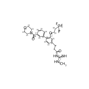 CNC(=N)NC(=O)CCc1ccc(-c2cccc(C(=O)N3CCOCC3)c2)c(OCCC(F)(F)F)c1